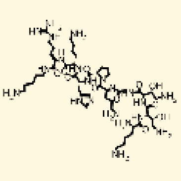 N=C(N)NCC/C=C(\NC(=O)[C@H](CCCCN)NC(=O)[C@H](Cc1cnc[nH]1)NC(=O)[C@@H]1CCCN1C(=O)/C(CCCN)=N/C(=O)CNC(=O)[C@@H](NC(=O)[C@@H](NC(=O)[C@@H](N)CCCCN)[C@@H](O)CN)[C@@H](O)CN)C(=O)NCCCCCN